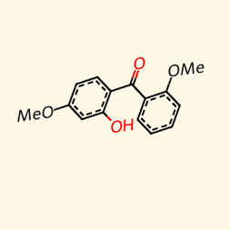 COc1ccc(C(=O)c2ccccc2OC)c(O)c1